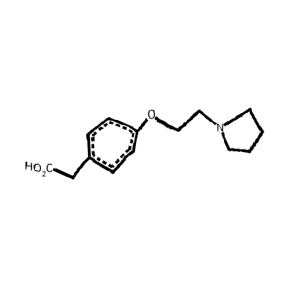 O=C(O)Cc1ccc(OCCN2CCCC2)cc1